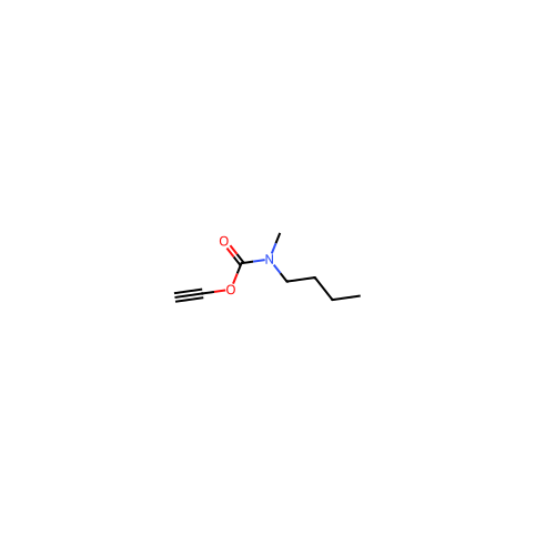 C#COC(=O)N(C)CCCC